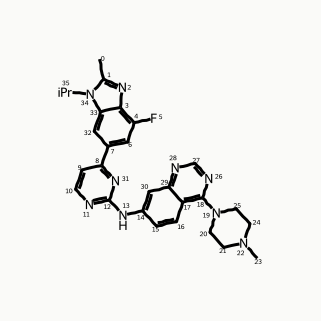 Cc1nc2c(F)cc(-c3ccnc(Nc4ccc5c(N6CCN(C)CC6)ncnc5c4)n3)cc2n1C(C)C